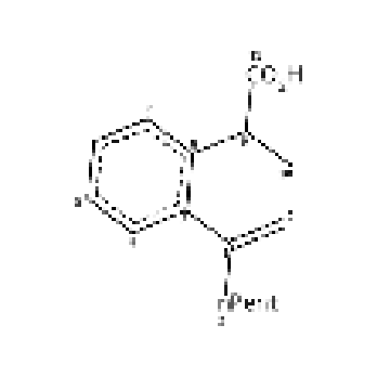 C=C(CCCCC)c1ccccc1C(C)C(=O)O